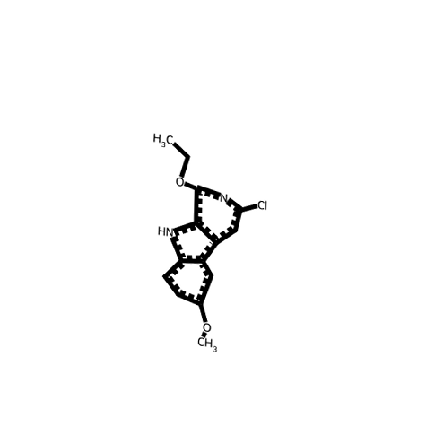 CCOc1nc(Cl)cc2c1[nH]c1ccc(OC)cc12